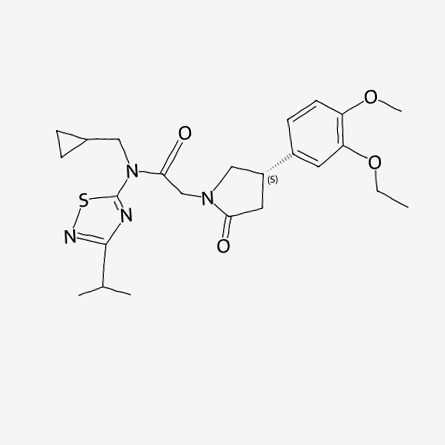 CCOc1cc([C@@H]2CC(=O)N(CC(=O)N(CC3CC3)c3nc(C(C)C)ns3)C2)ccc1OC